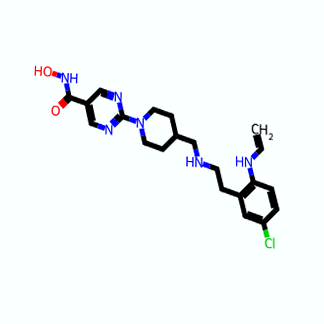 C=CNc1ccc(Cl)cc1CCNCC1CCN(c2ncc(C(=O)NO)cn2)CC1